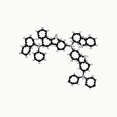 c1ccc(N(c2ccccc2)c2ccc3sc4cc(N(c5ccc6c(c5)oc5c7ccccc7c(N(c7ccccc7)c7cccc8ccccc78)cc65)c5cccc6c5sc5ccccc56)ccc4c3c2)cc1